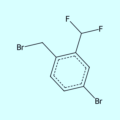 FC(F)c1cc(Br)ccc1CBr